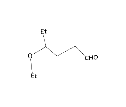 CCOC(CC)CCC=O